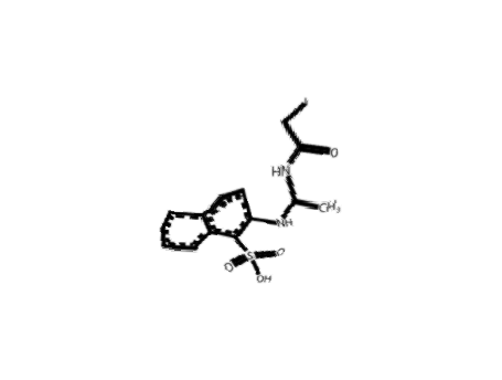 CC(NC(=O)CI)Nc1ccc2ccccc2c1S(=O)(=O)O